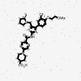 COCCOc1ccc(-c2nc(NC(=O)c3cnc(N4CCC(C(=O)O)CC4)cn3)sc2CN2CCC[C@H]2C)cc1C(F)(F)F